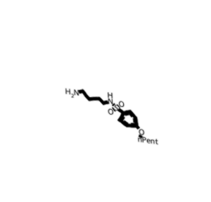 CCCCCOc1ccc(S(=O)(=O)NCCCCN)cc1